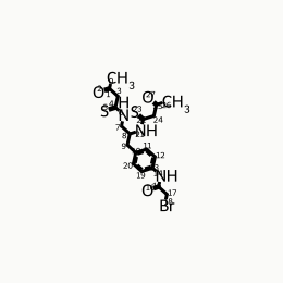 CC(=O)CC(=S)NCC(Cc1ccc(NC(=O)CBr)cc1)NC(=S)CC(C)=O